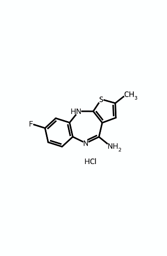 Cc1cc2c(s1)Nc1cc(F)ccc1N=C2N.Cl